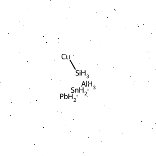 [AlH3].[PbH2].[SiH3][Cu].[SnH2]